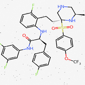 C[C@@H]1CNC[C@](CCc2c(F)cccc2N[C@@H](Cc2ccc(F)cc2)C(=O)Nc2cc(F)cc(F)c2)(S(=O)(=O)c2ccc(OC(F)(F)F)cc2)N1